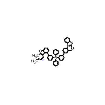 C=C/C=C\c1c(C)oc2cccc(-c3cccc([Si](c4ccccc4)(c4ccccc4)c4cccc(-c5ccc6c(c5)COc5nc7ccccc7n5-6)c4)c3)c12